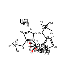 C[Si](C)(C)CC1=[C]([Zr]([CH3])([CH3])([CH3])([CH3])([CH3])([CH3])([CH3])([CH3])([SiH3])([SiH3])([SiH3])([SiH3])[C]2=C(C[Si](C)(C)C)C=CC2)CC=C1.Cl.Cl